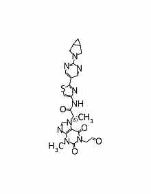 C[C@@H](C(=O)Nc1csc(-c2cnc(N3CC4CC4C3)nc2)n1)n1cnc2c1c(=O)n(CC=O)c(=O)n2C